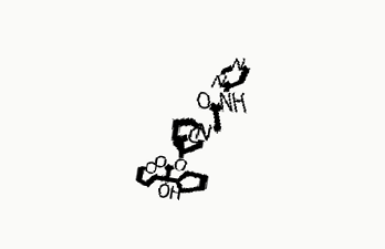 O=C(C[N+]12CCC(CC1)C(OC(=O)[C@](O)(c1ccco1)C1CCCC1)C2)Nc1ccncn1